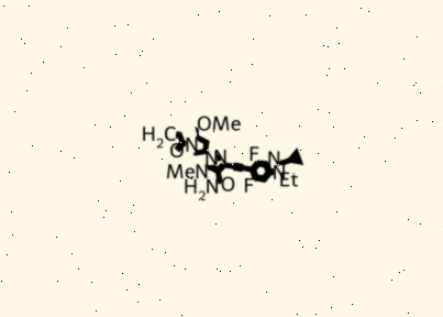 C=CC(=O)N1C[C@@H](n2nc(C#Cc3c(F)cc4c(nc(C5CC5)n4CC)c3F)c(C(N)=O)c2NC)C[C@@H]1COC